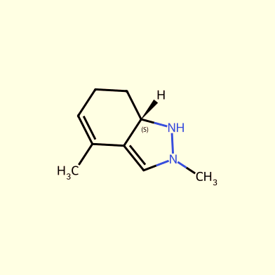 CC1=CCC[C@@H]2NN(C)C=C12